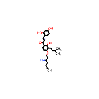 C#CCCC(=N)CCOc1ccc(C(=O)/C=C/c2ccc(O)cc2O)c(O)c1CC=C(C)C